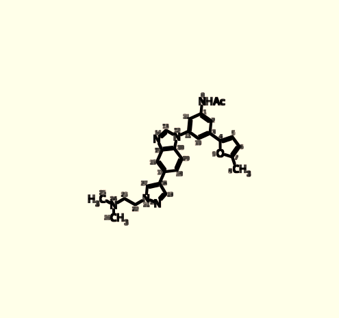 CC(=O)Nc1cc(-c2ccc(C)o2)cc(-n2cnc3cc(-c4cnn(CCN(C)C)c4)ccc32)c1